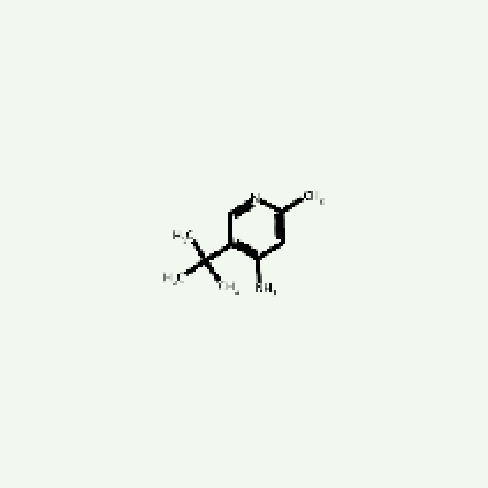 Cc1cc(N)c(C(C)(C)C)cn1